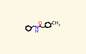 Cc1ccc(CC(=O)NCc2ccccc2)cc1